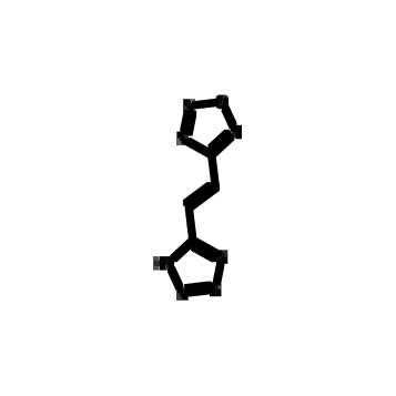 C(=Cc1nnn[nH]1)c1nnon1